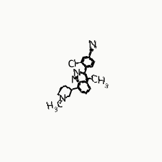 Cc1c(-c2ccc(C#N)cc2Cl)nnc2c(C3CCCN(C)C3)cccc12